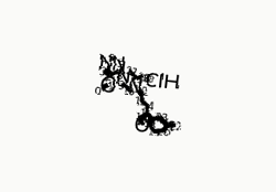 COc1cncnc1N1CCN(CCCc2coc3ccc(C)cc23)C(C)C1.Cl